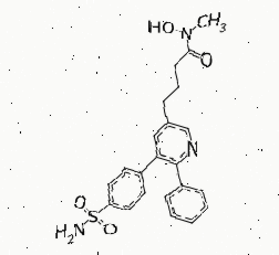 CN(O)C(=O)CCCc1cnc(-c2ccccc2)c(-c2ccc(S(N)(=O)=O)cc2)c1